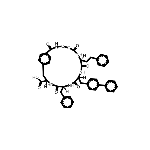 O=C1CCNC(=O)c2ccc(cc2)C[C@@H](C(=O)O)NC(=O)[C@@H](Cc2ccccc2)NC(=O)[C@@H](Cc2ccc(-c3ccccc3)cc2)NC(=O)[C@H](CCc2ccccc2)N1